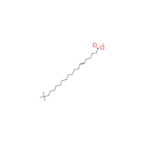 COC(=O)CCCC/C=C/CCCCCCCCCCCC(C)(C)C